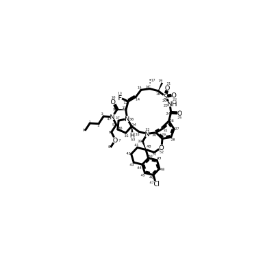 CCCCN(CCOC)C(=O)[C@H]1/C(F)=C/C[C@H](C)[C@@H](C)S(=O)(=O)NC(=O)c2ccc3c(c2)N(C[C@@H]2CCCN21)C[C@@]1(CCCc2cc(Cl)ccc21)CO3